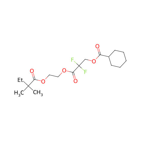 CCC(C)(C)C(=O)OCCOC(=O)C(F)(F)COC(=O)C1CCCCC1